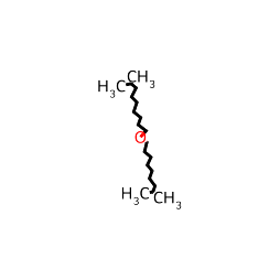 CC(C)CCCCCCCOCCCCCCCC(C)C